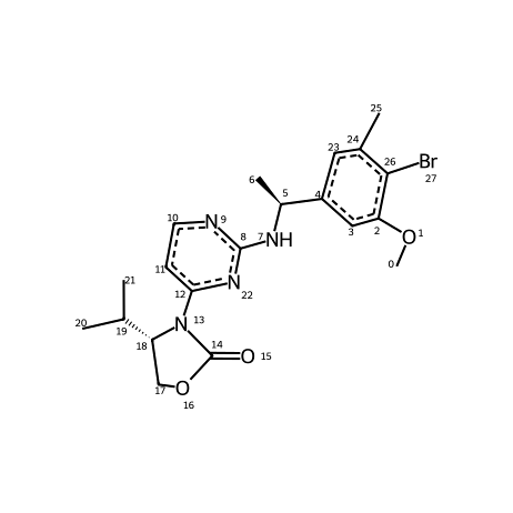 COc1cc([C@H](C)Nc2nccc(N3C(=O)OC[C@@H]3C(C)C)n2)cc(C)c1Br